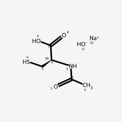 CC(=O)N[C@@H](CS)C(=O)O.[Na+].[OH-]